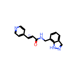 O=C(/C=C/c1ccncc1)NCc1cccc2cn[nH]c12